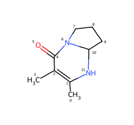 CC1=C(C)C(=O)N2CCCC2N1